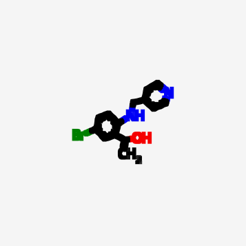 C=C(O)c1cc(Br)ccc1NCc1ccncc1